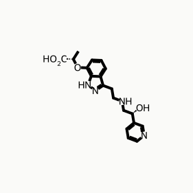 C[C@H](Oc1cccc2c(CCNC[C@H](O)c3cccnc3)n[nH]c12)C(=O)O